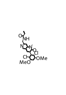 C=CC(=O)NCc1cc2c(cn1)cc(-c1c(Cl)c(OC)cc(OC)c1Cl)c(=O)n2C